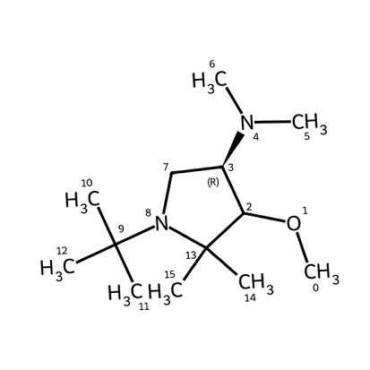 COC1[C@H](N(C)C)CN(C(C)(C)C)C1(C)C